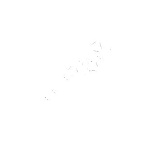 COc1cc(N2CCC(N3CCN(CC4CC4)CC3)CC2)ccc1Nc1ncc(Cl)c(Nc2ccccc2P(C)(C)=O)n1